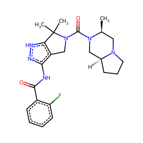 C[C@H]1CN2CCC[C@H]2CN1C(=O)N1Cc2c(NC(=O)c3ccccc3F)n[nH]c2C1(C)C